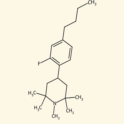 CCCCc1ccc(C2CC(C)(C)N(C)C(C)(C)C2)c(F)c1